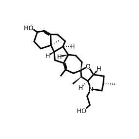 CC1=C2C[C@H]3[C@@H](CCC4=CC(O)CC[C@@]43C)[C@@H]2CC[C@@]2(C1)O[C@@H]1C[C@H](C)CN(CCO)[C@H]1[C@H]2C